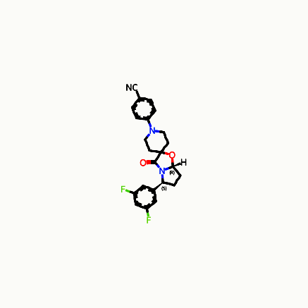 N#Cc1ccc(N2CCC3(CC2)O[C@@H]2CC[C@@H](c4cc(F)cc(F)c4)N2C3=O)cc1